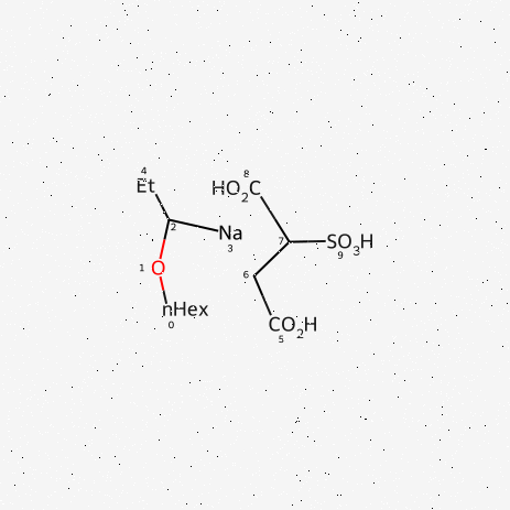 CCCCCCO[CH]([Na])CC.O=C(O)CC(C(=O)O)S(=O)(=O)O